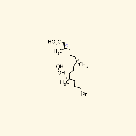 C/C(=C\C(=O)O)CCC[C@H](C)CCC[C@H](C)CCCC(C)C.OO